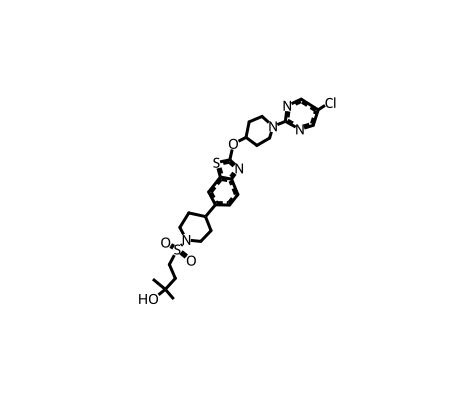 CC(C)(O)CCS(=O)(=O)N1CCC(c2ccc3nc(OC4CCN(c5ncc(Cl)cn5)CC4)sc3c2)CC1